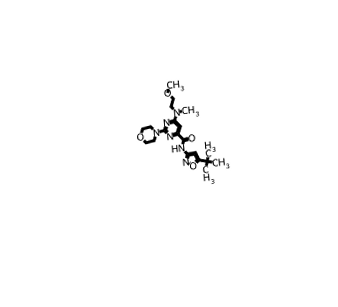 COCCN(C)c1cc(C(=O)Nc2cc(C(C)(C)C)on2)nc(N2CCOCC2)n1